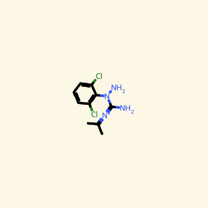 CC(C)=[N+]=C(N)N(N)c1c(Cl)cccc1Cl